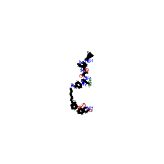 CN(CCCCCc1cccc(Oc2cccc3c2C(=O)NC(=O)C3)c1)CC1CCC(n2cc(NC(=O)c3coc(-c4ccnc(NCC5CC5)c4)n3)c(C(F)F)n2)CC1